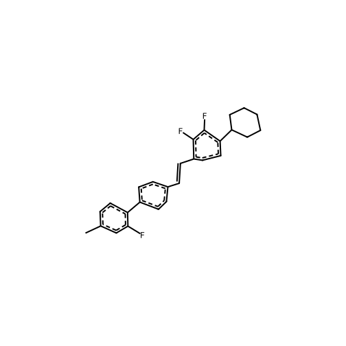 Cc1ccc(-c2ccc(/C=C/c3ccc(C4CCCCC4)c(F)c3F)cc2)c(F)c1